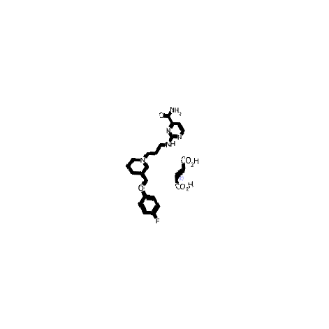 NC(=O)c1ccnc(NCCCN2CCCC(COc3ccc(F)cc3)C2)n1.O=C(O)/C=C/C(=O)O